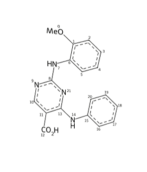 COc1ccccc1Nc1ncc(C(=O)O)c(Nc2ccccc2)n1